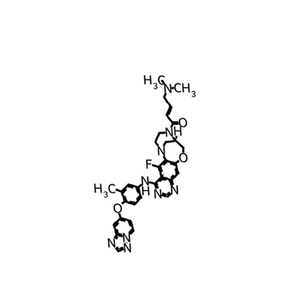 Cc1cc(Nc2ncnc3cc4c(c(F)c23)N2CCN(C(=O)/C=C/CN(C)C)[C@H](CO4)C2)ccc1Oc1ccn2ncnc2c1